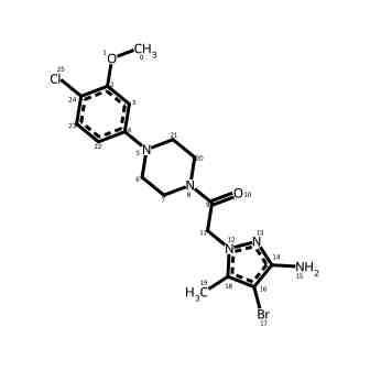 COc1cc(N2CCN(C(=O)Cn3nc(N)c(Br)c3C)CC2)ccc1Cl